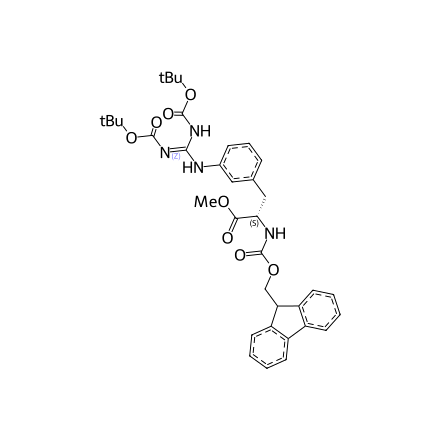 COC(=O)[C@H](Cc1cccc(N/C(=N/C(=O)OC(C)(C)C)NC(=O)OC(C)(C)C)c1)NC(=O)OCC1c2ccccc2-c2ccccc21